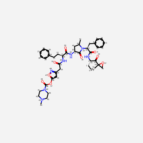 CC(C)C[C@H](NC(=O)[C@H](Cc1ccccc1)N1C(=O)[C@@H](NC(=O)[C@H](CCc2ccccc2)NC(=O)Cc2cc(OC(=O)N3CCN(C)CC3)on2)CC1C)C(=O)C1(C)CO1